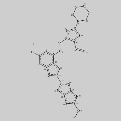 COc1cc(OCc2nc(N3CCOCC3)sc2C=O)c2cc(-c3cn4nc(OC)sc4n3)oc2c1